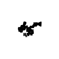 C#Cc1cc2c(cc1Sc1nc3c(N)ncnc3n1CCCCNC1CC1)OCO2